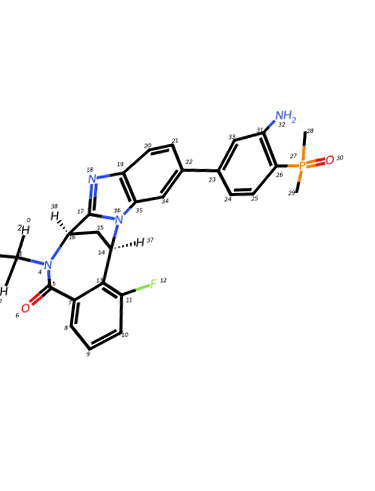 [2H]C([2H])([2H])N1C(=O)c2cccc(F)c2[C@H]2C[C@@H]1c1nc3ccc(-c4ccc(P(C)(C)=O)c(N)c4)cc3n12